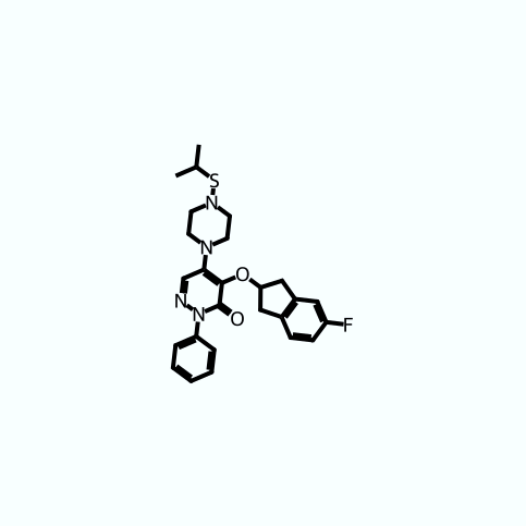 CC(C)SN1CCN(c2cnn(-c3ccccc3)c(=O)c2OC2Cc3ccc(F)cc3C2)CC1